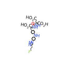 O=C(O)CC[C@H](NC(=O)N[C@@H](Cc1ccc(Nc2ccc(-n3cc(CCCF)nn3)cc2)cc1)C(=O)O)C(=O)O